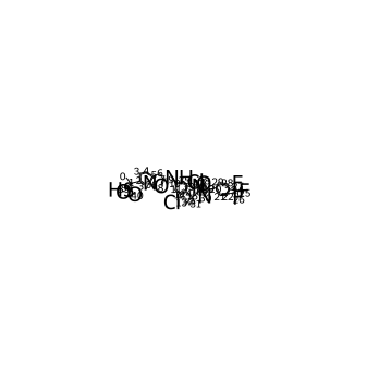 CC(c1ccc(CC(=O)Nc2cc(Cl)c(C3(c4noc(-c5ccc(C(F)(F)F)cc5)n4)CC3)c(Cl)c2)nc1)[SH](=O)=O